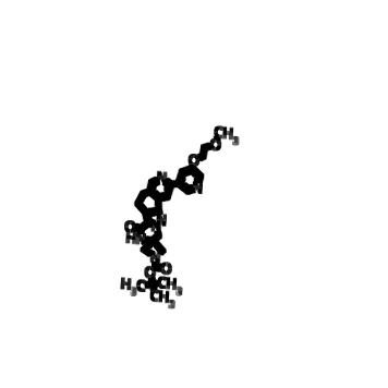 COCCOc1cncc(-c2cc3c(cn2)CCc2c-3nn3c2C(=O)NC2(CN(C(=O)OC(C)(C)C)C2)C3)c1